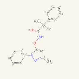 CCC(C)(C(=O)NOc1cc(C)nn1-c1ccccc1)c1ccccc1